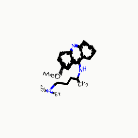 CCN(CC)CCCC(C)Nc1c2ccccc2nc2ccc(OC)cc12